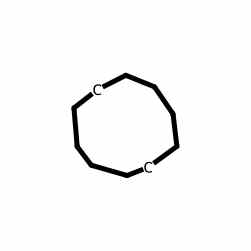 C1CCCCCCCCC1